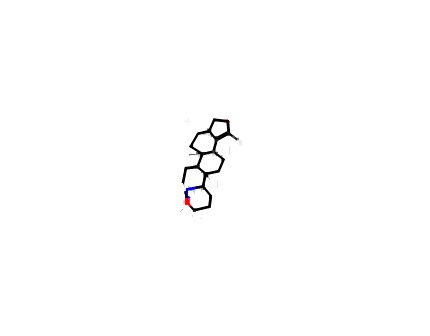 CC(=O)O[C@H]1CC[C@]2(C)[C@H]3CC[C@@H]4C5=C(C(C)C)C(=O)C[C@]5(C=O)CC[C@@]4(C)[C@]3(C)CC[C@]23N=C[C@]13C